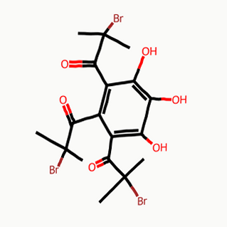 CC(C)(Br)C(=O)c1c(O)c(O)c(O)c(C(=O)C(C)(C)Br)c1C(=O)C(C)(C)Br